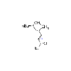 CCCCC(C)CC(C)/C=C/C(=O)CC